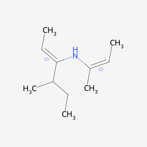 C/C=C(/C)N/C(=C\C)C(C)CC